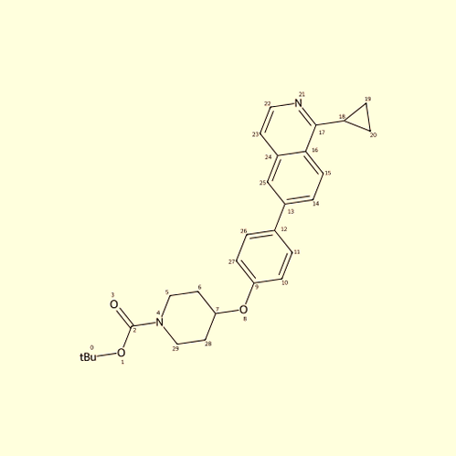 CC(C)(C)OC(=O)N1CCC(Oc2ccc(-c3ccc4c(C5CC5)nccc4c3)cc2)CC1